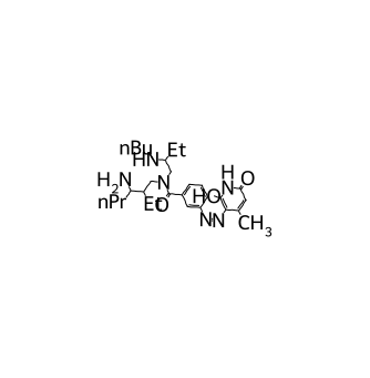 CCCCNC(CC)CN(CC(CC)C(N)CCC)C(=O)c1cccc(/N=N\c2c(C)cc(=O)[nH]c2O)c1